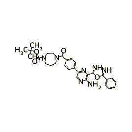 CC(C)(C)OC(=O)N1CCCN(C(=O)c2ccc(-c3cnc(N)c(C(=N)OC(=N)c4ccccc4)n3)cc2)CC1